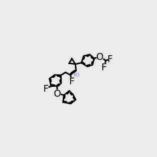 F/C(=C/C1(c2ccc(OC(F)F)cc2)CC1)Cc1ccc(F)c(Oc2ccccc2)c1